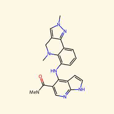 CNC(=O)c1cnc2[nH]ccc2c1Nc1cccc2c1N(C)Cc1cn(C)nc1-2